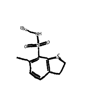 Cc1ccc2c(c1S(=O)(=O)NC(C)(C)C)SCC2